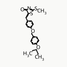 CCC(CC)Oc1ccc(COc2ccc(/C=C3\SC(SC)=NC3=O)cc2)cc1